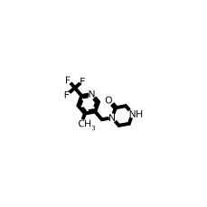 Cc1cc(C(F)(F)F)ncc1CN1CCNCC1=O